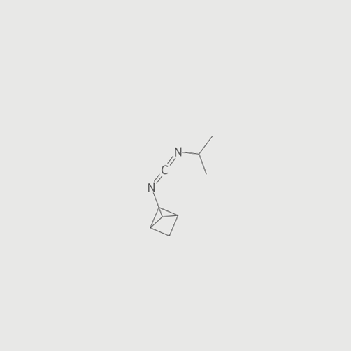 CC(C)N=C=NC1C2CC1C2